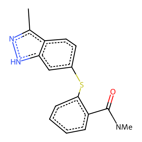 CNC(=O)c1ccccc1Sc1ccc2c(C)n[nH]c2c1